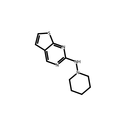 c1cc2cnc(NN3CCCCC3)nc2s1